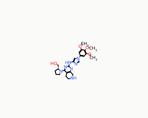 COc1cc(-n2cnc(Nc3nc4c(c(N5CCC[C@H]5CO)n3)CCNC4)c2)cc(OC)c1OC